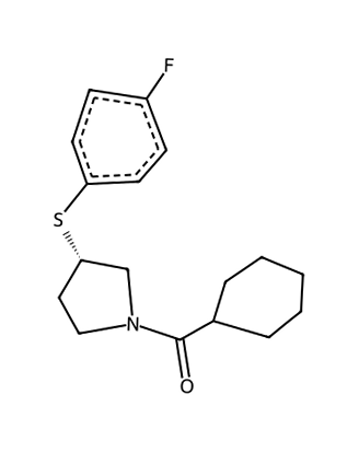 O=C(C1CCCCC1)N1CC[C@H](Sc2ccc(F)cc2)C1